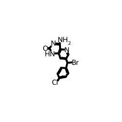 Nc1nc(=O)[nH]c2cc(C(Br)c3ccc(Cl)cc3)cnc12